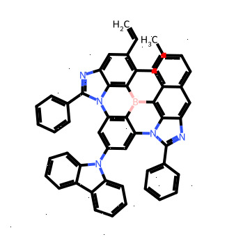 C=Cc1cc2nc(-c3ccccc3)n3c2c(c1/C=C\C)B1c2c-3cc(-n3c4ccccc4c4ccccc43)cc2-n2c(-c3ccccc3)nc3cc4ccccc4c1c32